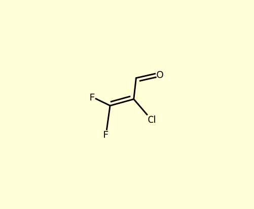 O=CC(Cl)=C(F)F